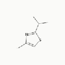 [CH2]c1csc(C(C)C)n1